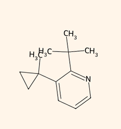 CC(C)(C)c1ncccc1C1(C)CC1